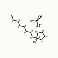 CC(=O)[O-].CCCCCCCC[N+]1(C)CCCC1